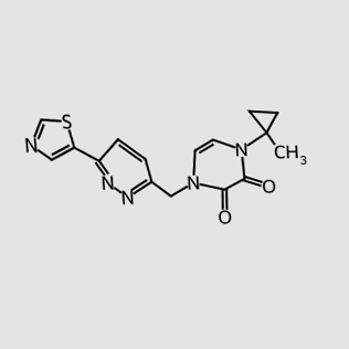 CC1(n2ccn(Cc3ccc(-c4cncs4)nn3)c(=O)c2=O)CC1